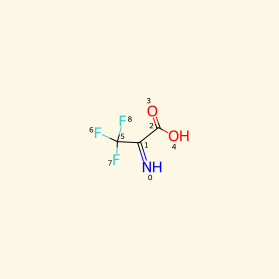 N=C(C(=O)O)C(F)(F)F